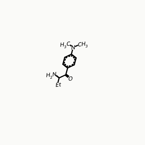 CCC(N)C(=O)c1ccc(N(C)C)cc1